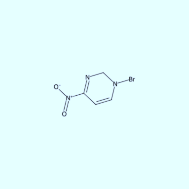 O=[N+]([O-])C1=NCN(Br)C=C1